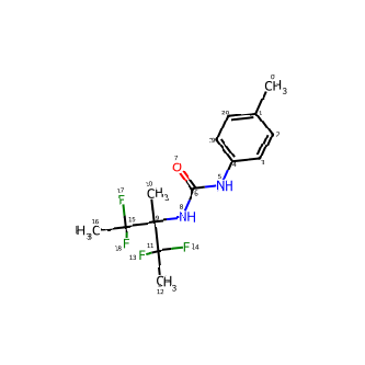 Cc1ccc(NC(=O)NC(C)(C(C)(F)F)C(C)(F)F)cc1